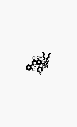 CCCCOP(=O)(OCCCC)Oc1cc(O)c2c(=O)cc(-c3ccccc3Cl)oc2c1[C@H]1CCN(C)C[C@H]1O